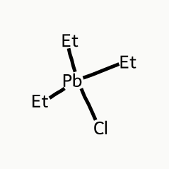 C[CH2][Pb]([Cl])([CH2]C)[CH2]C